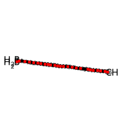 BC(P)C#CC#CC#CC#CC#CC#CC#CC#CC#CC#CC#CC#CC#CC#CC#CC#CC#CC#CC#CC#CC#CC#CC#CC#CC#CC#CC#CC#CC#CC#CC#CC#C